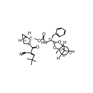 CC(C)(C)C=C(C#N)C(=O)N1C[C@H]2C[C@H]2[C@@H]1COC(=O)N[C@@H](Cc1ccccc1)B1O[C@@H]2C[C@@H]3C[C@@H](C3(C)C)[C@]2(C)O1